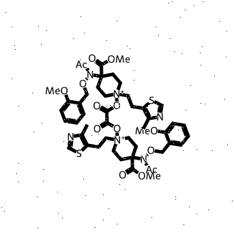 COC(=O)C1(N(OCc2ccccc2OC)C(C)=O)CC[N+](CCc2scnc2C)(OC(=O)C(=O)O[N+]2(CCc3scnc3C)CCC(C(=O)OC)(N(OCc3ccccc3OC)C(C)=O)CC2)CC1